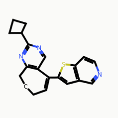 C1=C(c2cc3cnccc3s2)c2cnc(C3CCC3)nc2CCC1